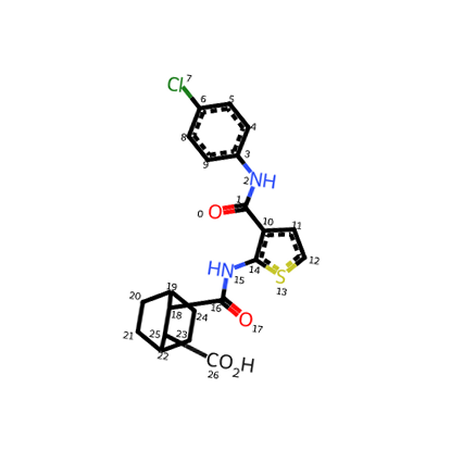 O=C(Nc1ccc(Cl)cc1)c1ccsc1NC(=O)C1C2CCC(CC2)C1C(=O)O